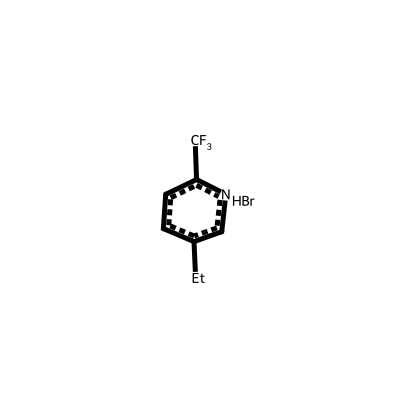 Br.CCc1ccc(C(F)(F)F)nc1